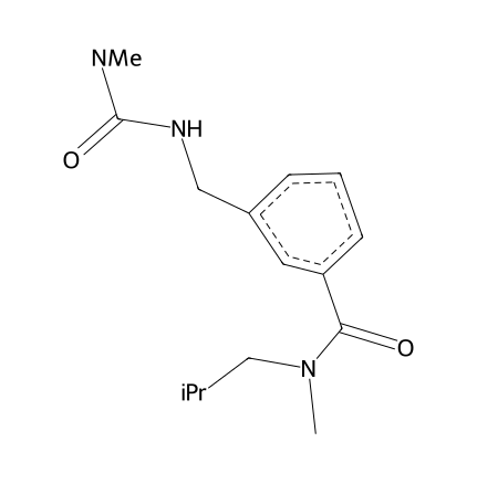 CNC(=O)NCc1cccc(C(=O)N(C)CC(C)C)c1